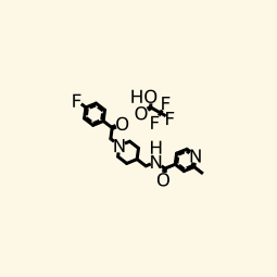 Cc1cc(C(=O)NCC2CCN(CC(=O)c3ccc(F)cc3)CC2)ccn1.O=C(O)C(F)(F)F